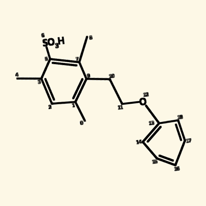 Cc1cc(C)c(S(=O)(=O)O)c(C)c1CCOc1ccccc1